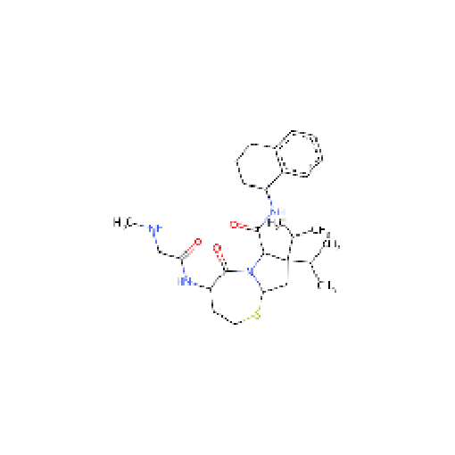 CNCC(=O)NC1CCSC2CC(C(C)C)(C(C)C)C(C(=O)NC3CCCc4ccccc43)N2C1=O